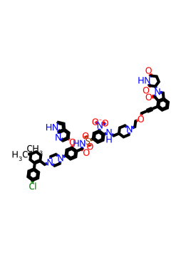 CC1(C)CCC(CN2CCN(c3ccc(C(=O)NS(=O)(=O)c4ccc(NCC5CCN(CCOCC#Cc6cccc7c6C(=O)N(C6CCC(=O)NC6=O)C7)CC5)c([N+](=O)[O-])c4)c(Oc4cnc5[nH]ccc5c4)c3)CC2)=C(c2ccc(Cl)cc2)C1